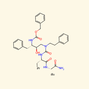 CC[C@H](C)[C@H](NC(=O)[C@H](CC(C)C)NC(=O)N(CCc1ccccc1)C[C@@H](O)[C@H](Cc1ccccc1)NC(=O)OCc1ccccc1)C(N)=O